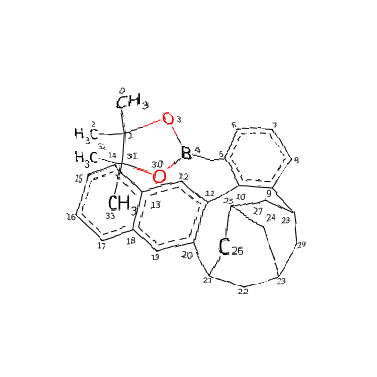 CC1(C)OB(c2cccc3c2-c2cc4ccccc4cc2C2CC4CC(C2)CC3C4)OC1(C)C